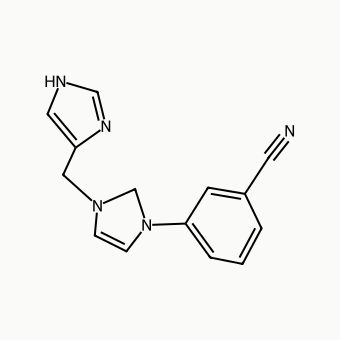 N#Cc1cccc(N2C=CN(Cc3c[nH]cn3)C2)c1